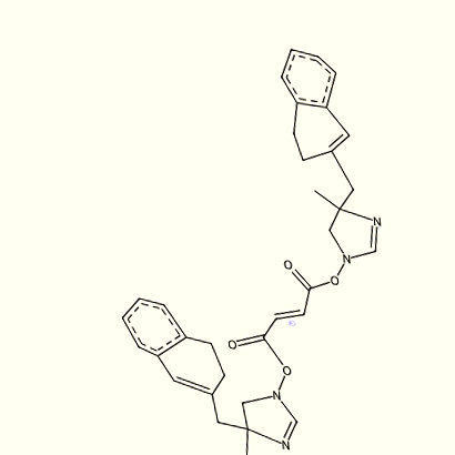 CC1(CC2=Cc3ccccc3CC2)CN(OC(=O)/C=C/C(=O)ON2C=NC(C)(CC3=Cc4ccccc4CC3)C2)C=N1